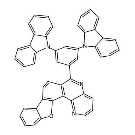 c1cnc2c(c1)nc(-c1cc(-n3c4ccccc4c4ccccc43)cc(-n3c4ccccc4c4ccccc43)c1)c1ccc3c4ccccc4oc3c12